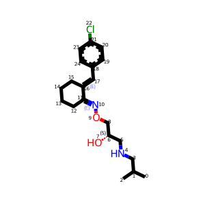 CC(C)CNC[C@H](O)CO/N=C1\CCCC\C1=C/c1ccc(Cl)cc1